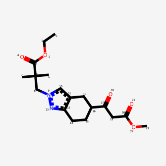 CCOC(=O)C(C)(C)Cn1cc2c(n1)CCC(C(=O)CC(=O)OC)C2